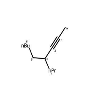 CC#CC(CCC)CCCCC